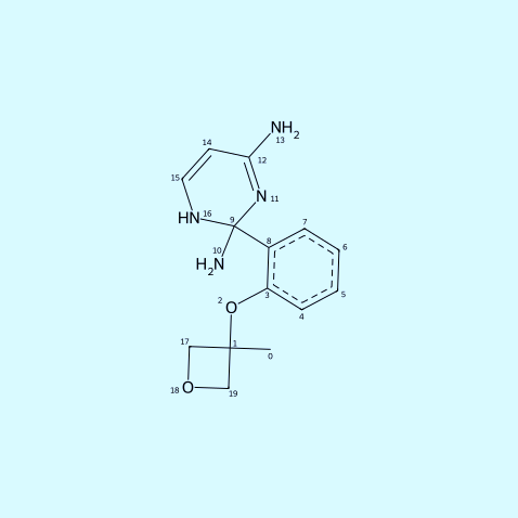 CC1(Oc2ccccc2C2(N)N=C(N)C=CN2)COC1